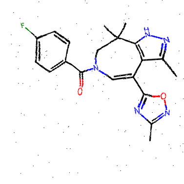 Cc1noc(C2=CN(C(=O)c3ccc(F)cc3)CC(C)(C)c3[nH]nc(C)c32)n1